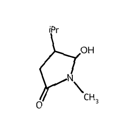 CC(C)C1CC(=O)N(C)C1O